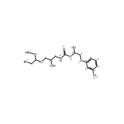 CCCCOC(CBr)OCC(O)CNC(=O)OC(CC)COc1cccc(C(F)(F)F)c1